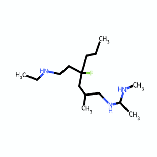 CCCC(F)(CCNCC)CC(C)CNC(C)NC